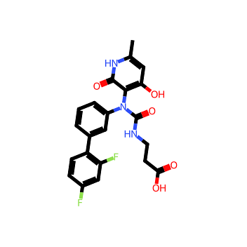 Cc1cc(O)c(N(C(=O)NCCC(=O)O)c2cccc(-c3ccc(F)cc3F)c2)c(=O)[nH]1